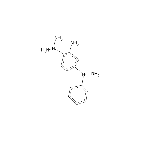 Nc1cc(N(N)c2ccccc2)ccc1N(N)N